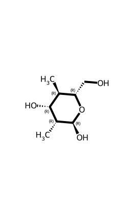 C[C@@H]1[C@H](O)[C@@H](C)[C@H](CO)O[C@H]1O